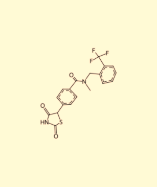 CN(Cc1ccccc1C(F)(F)F)C(=O)c1ccc(C2SC(=O)NC2=O)cc1